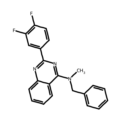 CN(Cc1ccccc1)c1nc(-c2ccc(F)c(F)c2)nc2ccccc12